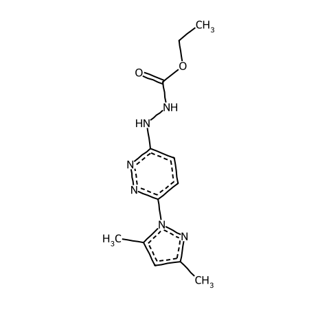 CCOC(=O)NNc1ccc(-n2nc(C)cc2C)nn1